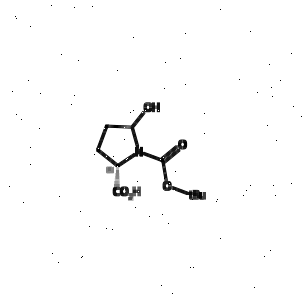 CC(C)(C)OC(=O)N1C(O)CC[C@H]1C(=O)O